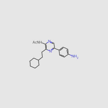 CC(=O)Nc1ncc(-c2ccc(N)cc2)nc1CCC1CCCCC1